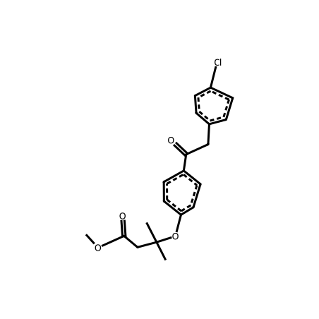 COC(=O)CC(C)(C)Oc1ccc(C(=O)Cc2ccc(Cl)cc2)cc1